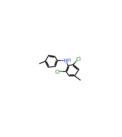 Cc1ccc(Nc2c(Cl)cc(C)cc2Cl)cc1